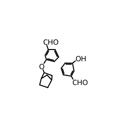 O=Cc1cccc(O)c1.O=Cc1cccc(OC2CC3CCC2C3)c1